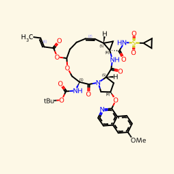 C/C=C/C(=O)OC1CC/C=C\[C@@H]2C[C@@]2(C(=O)NS(=O)(=O)C2CC2)NC(=O)[C@@H]2C[C@@H](Oc3nccc4cc(OC)ccc34)CN2C(=O)[C@@H](NC(=O)OC(C)(C)C)CO1